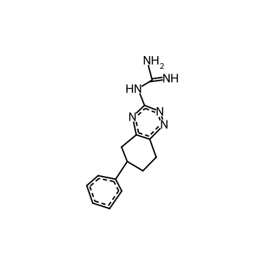 N=C(N)Nc1nnc2c(n1)CC(c1ccccc1)CC2